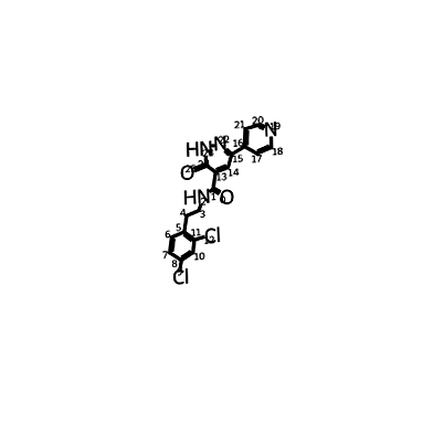 O=C(NCCc1ccc(Cl)cc1Cl)c1cc(-c2ccncc2)n[nH]c1=O